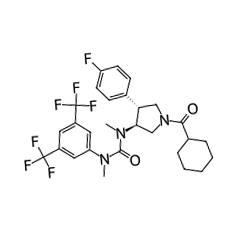 CN(C(=O)N(C)[C@@H]1CN(C(=O)C2CCCCC2)C[C@H]1c1ccc(F)cc1)c1cc(C(F)(F)F)cc(C(F)(F)F)c1